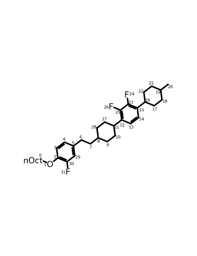 CCCCCCCCOc1ccc(CCC2CCC(c3ccc(C4CCC(C)CC4)c(F)c3F)CC2)cc1F